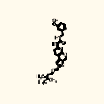 COc1cccc(CNC(=O)Nc2ccc3c(n2)OCc2nn(COCC[Si](C)(C)C)cc2-3)c1